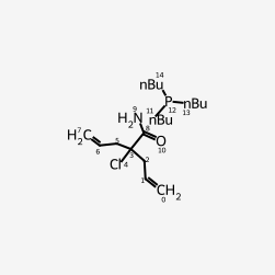 C=CCC(Cl)(CC=C)C(N)=O.CCCCP(CCCC)CCCC